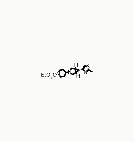 CCOC(=O)N1CCC(N2C[C@@H]3[C@H](C2)[C@H]3c2csc(C)n2)CC1